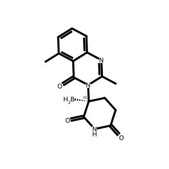 B[C@]1(n2c(C)nc3cccc(C)c3c2=O)CCC(=O)NC1=O